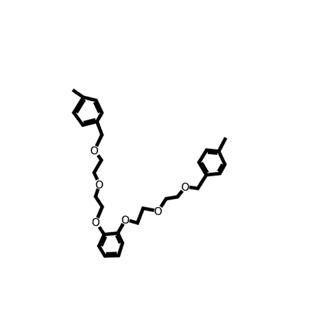 Cc1ccc(COCCOCCOc2ccccc2OCCOCCOCc2ccc(C)cc2)cc1